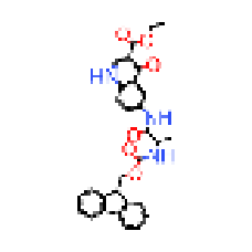 CCOC(=O)c1c[nH]c2ccc(NC(=O)C(C)NC(=O)OCC3c4ccccc4-c4ccccc43)cc2c1=O